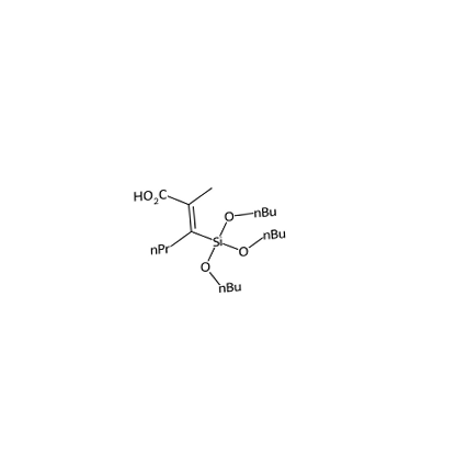 CCCCO[Si](OCCCC)(OCCCC)/C(CCC)=C(\C)C(=O)O